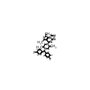 Cc1nn(C)c2c1c(N1C[C@@H](C)N(C(c3ccc(F)cc3)c3ccc(F)cc3)C[C@@H]1C)nc1nncn12